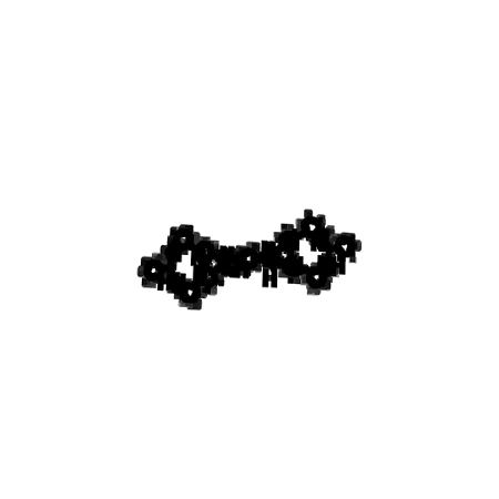 c1ccc(-c2c3cc4cccc(c5ccc6c(n5)c5nc(ccc5c5[nH]c(-c7ccc(-c8nc9c%10ccc%11nc%10c%10nc(ccc%10c9[nH]8)c8cccc9cc([nH]c98)c(-c8ccccc8)c8cc9cccc%11c9n8)cc7)nc65)c5cccc6cc2[nH]c65)c4n3)cc1